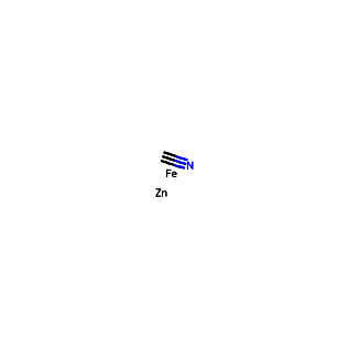 C#N.[Fe].[Zn]